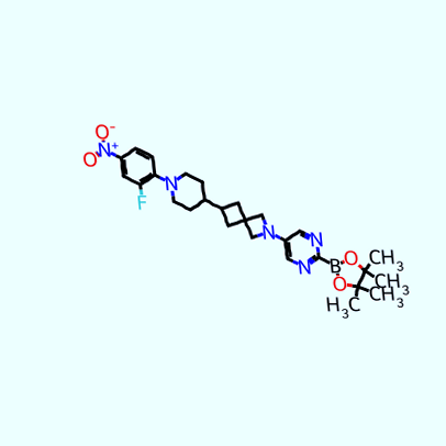 CC1(C)OB(c2ncc(N3CC4(CC(C5CCN(c6ccc([N+](=O)[O-])cc6F)CC5)C4)C3)cn2)OC1(C)C